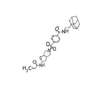 C=CC(=O)NC1CC2CN(S(=O)(=O)c3ccc(C(=O)NCCC45CC6CC(CC(C6)C4)C5)cc3)CC2S1